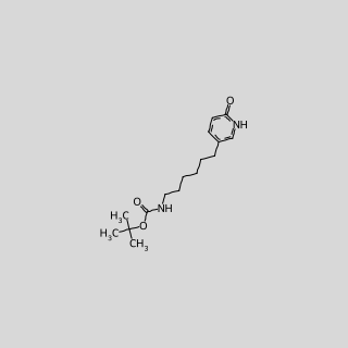 CC(C)(C)OC(=O)NCCCCCCc1ccc(=O)[nH]c1